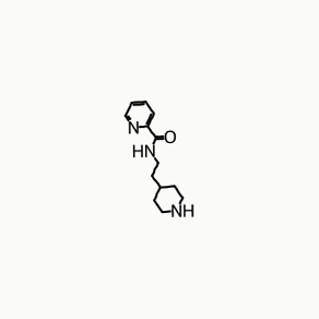 O=C(NCCC1CCNCC1)c1ccccn1